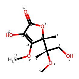 CO[C@@](C)(CO)[C@@]1(C)OC(=O)C(O)=C1O[SiH3]